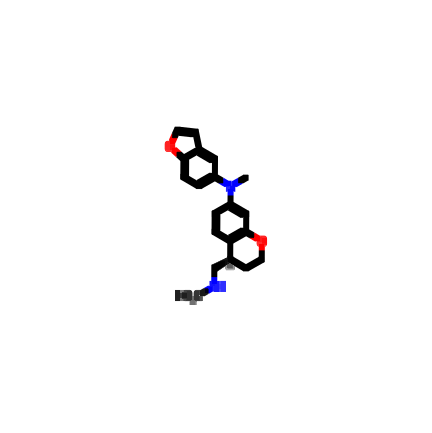 CN(c1ccc2c(c1)OCC[C@H]2CNC(=O)O)c1ccc2occc2c1